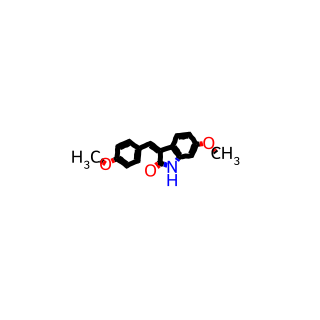 COc1ccc(C=C2C(=O)Nc3cc(OC)ccc32)cc1